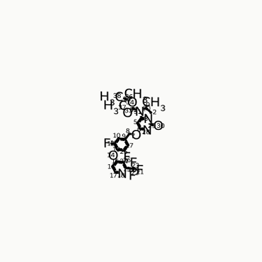 C[C@H]1Cn2c(cc(OCc3cc(F)c(Oc4ccnc(C(F)(F)F)c4)c(F)c3)nc2=O)N1C(=O)OC(C)(C)C